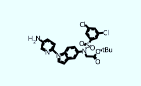 CC(C)(C)OC(=O)CN(c1ccc2c(ccn2-c2ccc(N)cn2)c1)S(=O)(=O)c1cc(Cl)cc(Cl)c1